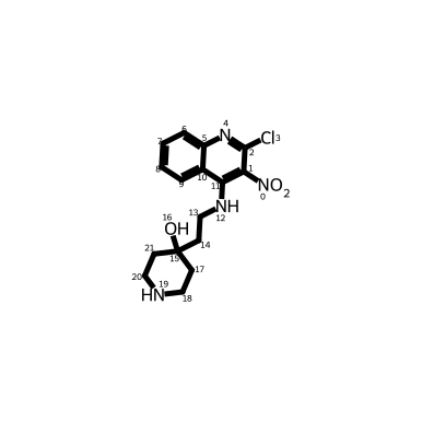 O=[N+]([O-])c1c(Cl)nc2ccccc2c1NCCC1(O)CCNCC1